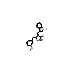 COc1cccc(CC2=NNC(=O)/C2=C\c2c[nH]c3ccccc23)c1